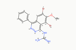 CCCCOc1c(Br)cc2c(-c3ccccc3)nnc(NC(=N)N)c2c1Br